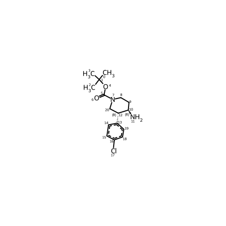 CC(C)(C)OC(=O)N1CC[C@@H](N)[C@H](c2ccc(Cl)cc2)C1